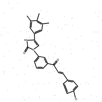 Cc1cc(-c2cn(-c3cccc(C(=O)C=Cc4ccc(Cl)cc4)c3)c(=O)[nH]2)cc(C)c1C